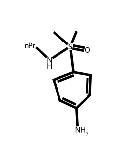 CCCNS(C)(C)(=O)c1ccc(N)cc1